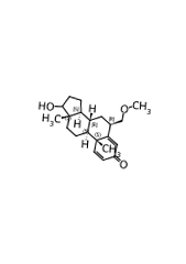 COC[C@@H]1C[C@@H]2[C@H](CC[C@]3(C)C(O)CC[C@@H]23)[C@@]2(C)C=CC(=O)C=C12